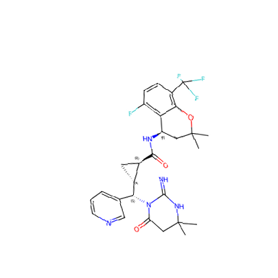 CC1(C)CC(=O)N([C@H](c2cccnc2)[C@@H]2C[C@H]2C(=O)N[C@@H]2CC(C)(C)Oc3c(C(F)(F)F)ccc(F)c32)C(=N)N1